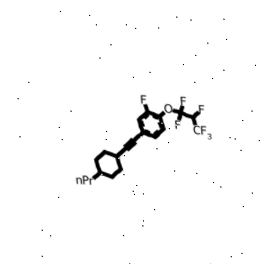 CCCC1CCC(C#Cc2ccc(OC(F)(F)C(F)C(F)(F)F)c(F)c2)CC1